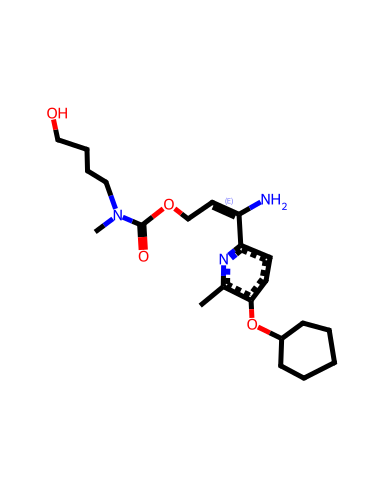 Cc1nc(/C(N)=C\COC(=O)N(C)CCCCO)ccc1OC1CCCCC1